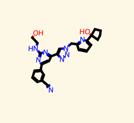 N#Cc1cccc(-c2cc(-c3cn(Cc4cccc(C5(O)CCCC5)n4)nn3)nc(NCCO)n2)c1